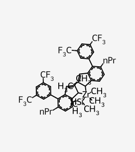 CCCc1ccc2c(c1-c1cc(C(F)(F)F)cc(C(F)(F)F)c1)C=C(C)[CH]2[Zr]([CH3])([CH3])([CH]1C(C)=Cc2c1ccc(CCC)c2-c1cc(C(F)(F)F)cc(C(F)(F)F)c1)[SiH](C)C